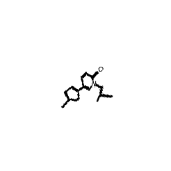 CC(C)Cn1cc(C2=CCC(C)CC2)ccc1=O